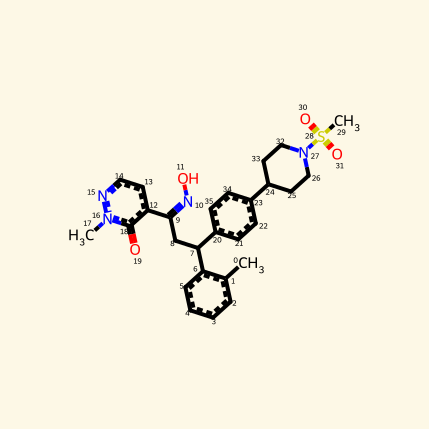 Cc1ccccc1C(CC(=NO)c1ccnn(C)c1=O)c1ccc(C2CCN(S(C)(=O)=O)CC2)cc1